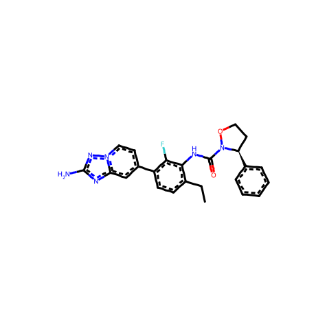 CCc1ccc(-c2ccn3nc(N)nc3c2)c(F)c1NC(=O)N1OCC[C@H]1c1ccccc1